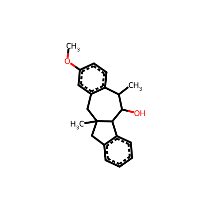 COc1ccc2c(c1)CC1(C)Cc3ccccc3C1C(O)C2C